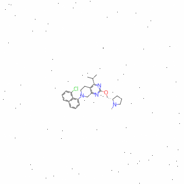 CC(C)c1nc(OC[C@@H]2CCCN2C)nc2c1CCN(c1cccc3cccc(Cl)c13)C2